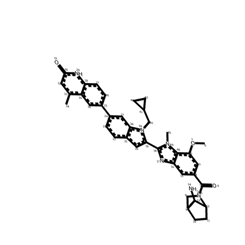 COc1cc(C(=O)N2CC3CCC2C3N)cc2nc(-c3cc4ccc(-c5ccc6[nH]c(=O)cc(C)c6c5)cc4n3CC3CC3)n(C)c12